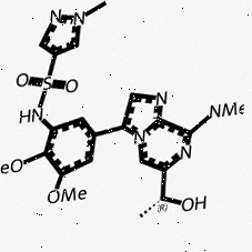 CNc1nc([C@@H](C)O)cn2c(-c3cc(NS(=O)(=O)c4cnn(C)c4)c(OC)c(OC)c3)cnc12